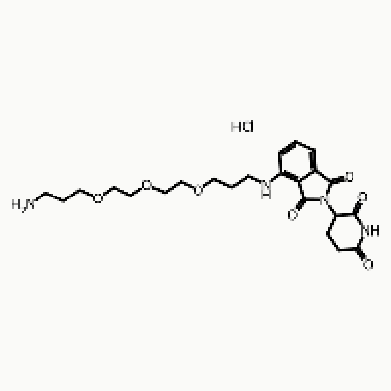 Cl.NCCCOCCOCCOCCCNc1cccc2c1C(=O)N(C1CCC(=O)NC1=O)C2=O